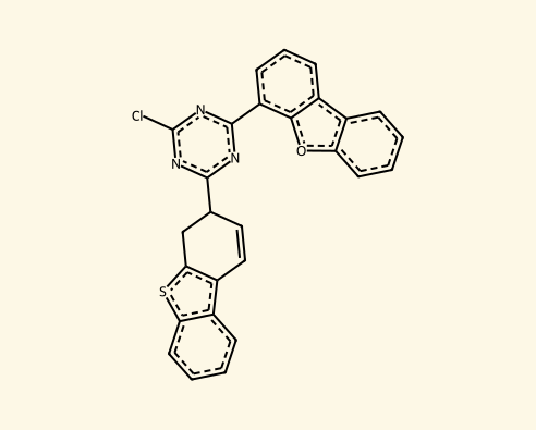 Clc1nc(-c2cccc3c2oc2ccccc23)nc(C2C=Cc3c(sc4ccccc34)C2)n1